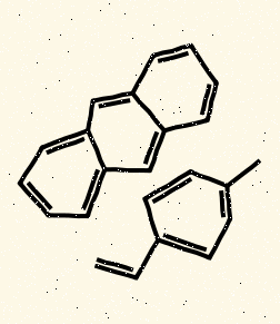 C=Cc1ccc(C)cc1.c1ccc2cc3ccccc3cc2c1